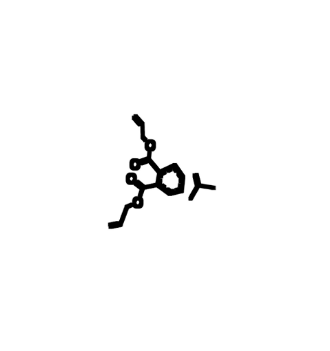 C=C(C)C.C=CCOC(=O)c1ccccc1C(=O)OCC=C